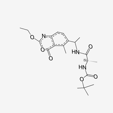 CCOc1nc2ccc(C(C)NC(=O)[C@H](C)NC(=O)OC(C)(C)C)c(C)c2c(=O)o1